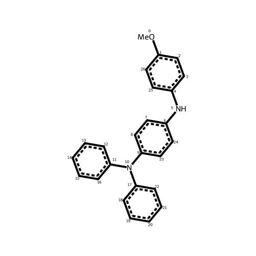 COc1ccc(Nc2ccc(N(c3ccccc3)c3ccccc3)cc2)cc1